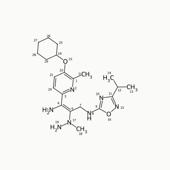 Cc1nc(/C(N)=C(\CNc2nc(C(C)C)no2)N(C)N)ccc1OC1CCCCC1